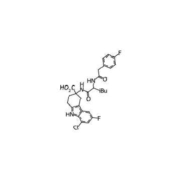 CCC(C)C(NC(=O)Cc1ccc(F)cc1)C(=O)NC1(C(=O)O)CCc2[nH]c3c(Cl)cc(F)cc3c2C1